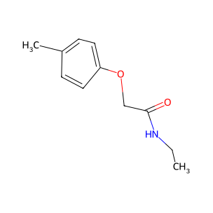 CCNC(=O)COc1ccc(C)cc1